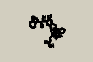 CON(C)[C@]1(c2ncc(CCC(=O)O)s2)CCCN1C(=O)Cc1cc(Cl)c(NC(=O)c2coc3ccccc23)cc1F